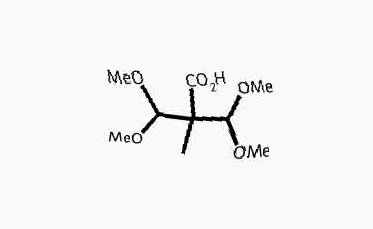 COC(OC)C(C)(C(=O)O)C(OC)OC